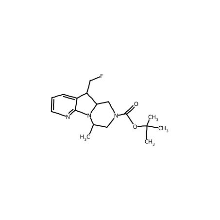 CC1CN(C(=O)OC(C)(C)C)CC2C(CF)c3cccnc3N12